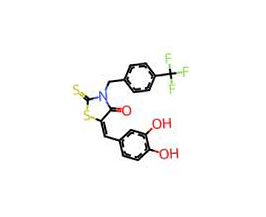 O=C1/C(=C\c2ccc(O)c(O)c2)SC(=S)N1Cc1ccc(C(F)(F)F)cc1